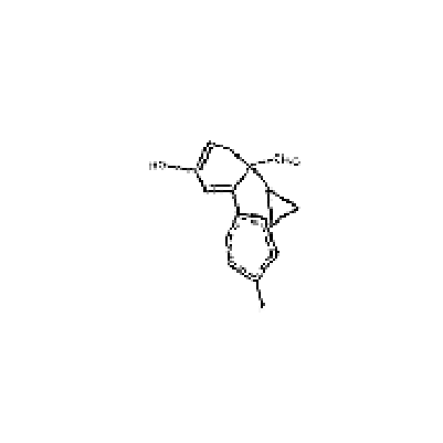 O=CC1(C2CC2)CC=C(O)C=C1c1ccc(F)cc1